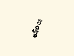 CC(C)CN(Cc1ccccc1Cl)S(=O)(=O)c1ccc(N2CCN(S(C)(=O)=O)CC2)cc1